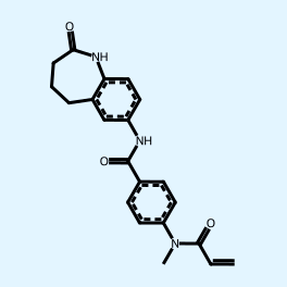 C=CC(=O)N(C)c1ccc(C(=O)Nc2ccc3c(c2)CCCC(=O)N3)cc1